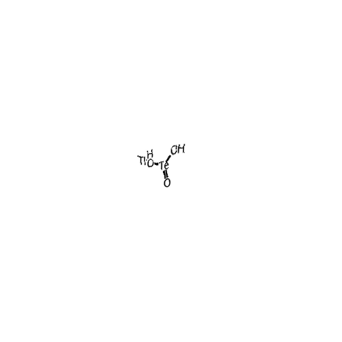 O=[Te](O)O.[Tl]